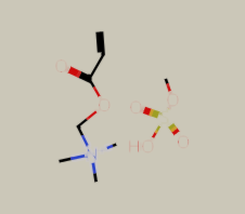 C=CC(=O)OC[N+](C)(C)C.COS(=O)(=O)O